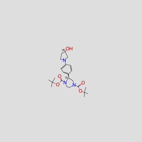 CC(C)(C)OC(=O)N1CCN(C(=O)OC(C)(C)C)[C@@H](c2ccc(N3CC[C@@H](O)C3)cc2)C1